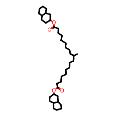 CC(CCCCCCCCC(=O)OC1CCC2CCCCC2C1)CCCCCCCCC(=O)OC1CCC2CCCCC2C1